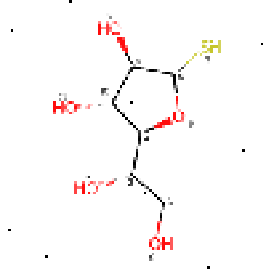 OC[C@H](O)[C@@H]1O[C@@H](S)[C@H](O)[C@H]1O